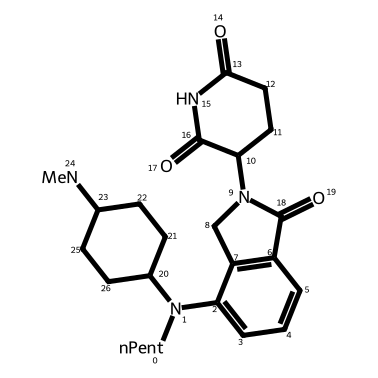 CCCCCN(c1cccc2c1CN(C1CCC(=O)NC1=O)C2=O)C1CCC(NC)CC1